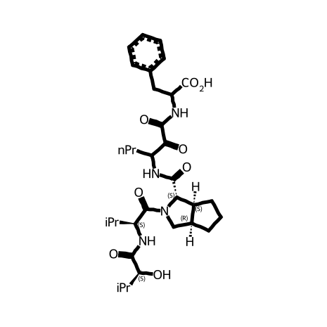 CCCC(NC(=O)[C@@H]1[C@H]2CCC[C@H]2CN1C(=O)[C@@H](NC(=O)[C@@H](O)C(C)C)C(C)C)C(=O)C(=O)NC(Cc1ccccc1)C(=O)O